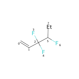 C=CC(F)(F)C(F)CC